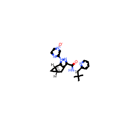 CC(C)(C)[C@H](NC(=O)c1nn(-c2c[n+]([O-])ccn2)c2c1C[C@@H]1C[C@H]21)c1ccccn1